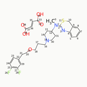 CN(C1=Nc2ccccc2CS1)C1CCN(CCCOCCc2ccc(F)c(F)c2)CC1.O=C(O)C=CC(=O)O